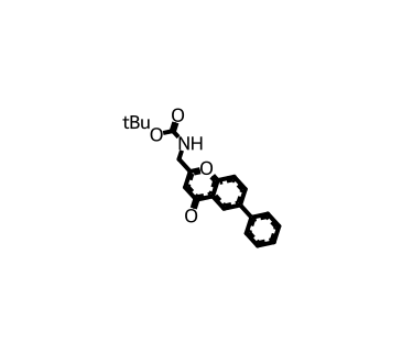 CC(C)(C)OC(=O)NCc1cc(=O)c2cc(-c3ccccc3)ccc2o1